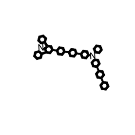 c1ccc(-c2ccc(-c3ccc(N(c4ccccc4)c4ccc(-c5ccc(-c6ccc(-c7cc8c9ccccc9n9c%10ccccc%10c(c7)c89)cc6)cc5)cc4)cc3)cc2)cc1